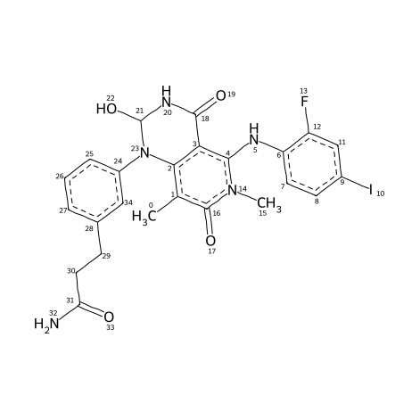 Cc1c2c(c(Nc3ccc(I)cc3F)n(C)c1=O)C(=O)NC(O)N2c1cccc(CCC(N)=O)c1